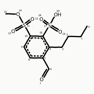 CCCCc1c(C=O)ccc(S(=O)(=O)OC)c1S(=O)(=O)O